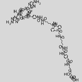 B[P@@]1(=O)OC[C@H]2O[C@@H](n3cnc4c(N)ccnc43)[C@H](F)[C@@H]2O[P@@](=O)(SCc2ccc(NC(=O)CNC(=O)CCCCCn3nnc4c3-c3ccccc3CN(C(=O)CCNC(=O)CCCCC(=O)NCC(=O)Nc3ccc(COC(=O)NCCCOCC(O)COP(C)(=O)O)cc3)c3ccccc3-4)cc2)OC[C@H]2O[C@@H](n3cnc4c(N)ncnc43)[C@H](F)[C@@H]2O1